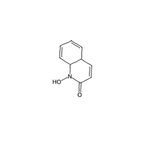 O=C1C=CC2C=CC=CC2N1O